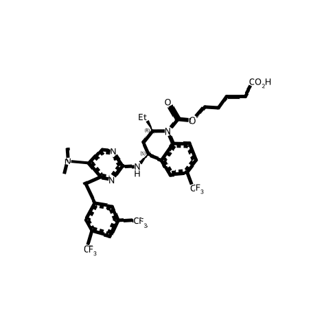 CC[C@@H]1C[C@H](Nc2ncc(N(C)C)c(Cc3cc(C(F)(F)F)cc(C(F)(F)F)c3)n2)c2cc(C(F)(F)F)ccc2N1C(=O)OCCCCC(=O)O